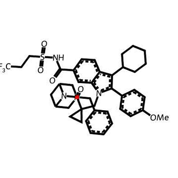 COc1ccc(-c2c(C3CCCCC3)c3ccc(C(=O)NS(=O)(=O)CCC(F)(F)F)cc3n2CC2(C(=O)N3C4CC3CN(Cc3ccccc3)C4)CC2)cc1